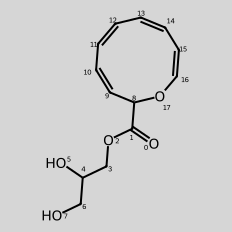 O=C(OCC(O)CO)C1C=CC=CC=CC=CO1